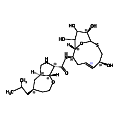 CC(C)C[C@@H]1CCO[C@@H]2[C@H](CN[C@@H]2C(=O)N[C@@H]2C/C=C/[C@H](O)CSC3O[C@H]2C(O)C(O)[C@H]3O)C1